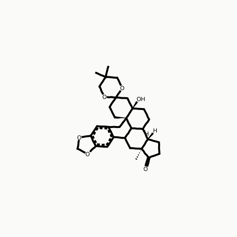 CC1(C)COC2(CC[C@@]34Cc5cc6c(cc5C5C[C@]7(C)C(=O)CC[C@H]7[C@H](CC[C@@]3(O)C2)C54)OCO6)OC1